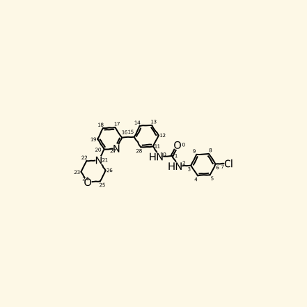 O=C(Nc1ccc(Cl)cc1)Nc1cccc(-c2cccc(N3CCOCC3)n2)c1